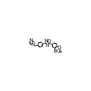 Brc1cc(-c2nc(-c3ccc(Cn4ccnc4)cc3)no2)ccc1OC1CC1